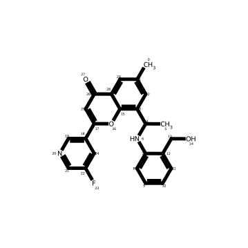 Cc1cc(C(C)Nc2ccccc2CO)c2oc(-c3cncc(F)c3)cc(=O)c2c1